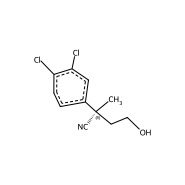 C[C@@](C#N)(CCO)c1ccc(Cl)c(Cl)c1